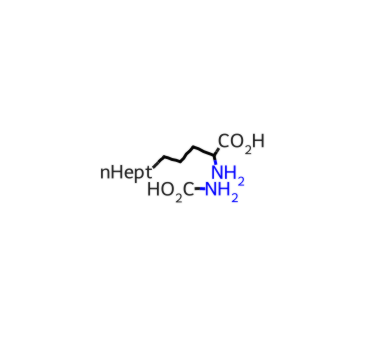 CCCCCCCCCCC(N)C(=O)O.NC(=O)O